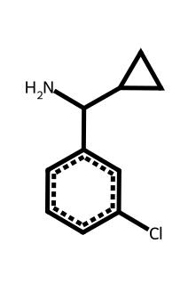 NC(c1cccc(Cl)c1)C1CC1